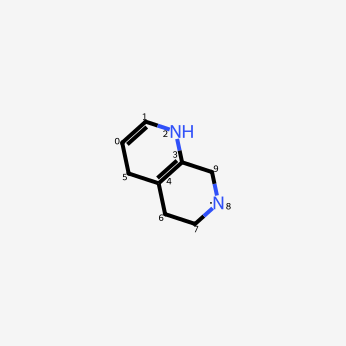 C1=CNC2=C(C1)CC[N]C2